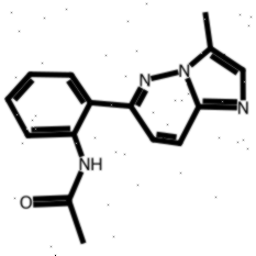 CC(=O)Nc1ccccc1-c1ccc2ncc(C)n2n1